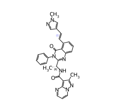 Cc1nn2cccnc2c1C(=O)N[C@H](C)c1nc2cccc(/C=C/c3cnn(C)c3)c2c(=O)n1-c1ccccc1